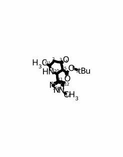 CC1CC(=O)C(C(=O)OC(C)(C)C)C(c2cn(C)nn2)N1